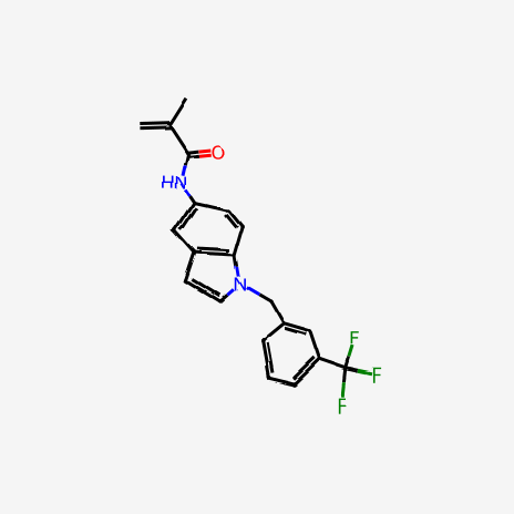 C=C(C)C(=O)Nc1ccc2c(ccn2Cc2cccc(C(F)(F)F)c2)c1